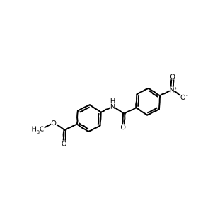 COC(=O)c1ccc(NC(=O)c2ccc([N+](=O)[O-])cc2)cc1